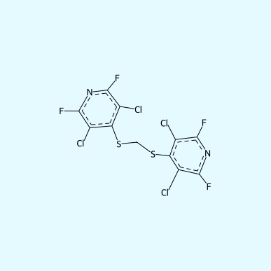 Fc1nc(F)c(Cl)c(SCSc2c(Cl)c(F)nc(F)c2Cl)c1Cl